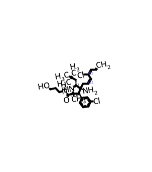 C=C/C=C(Cl)\C=C/C[C@@]1(N)[C@H](CC(C)(C)C)N[C@@](C)(C(=O)NCCCO)[C@@H]1c1cccc(Cl)c1